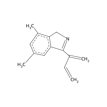 C=CC(=C)C1=NCc2c(C)cc(C)cc21